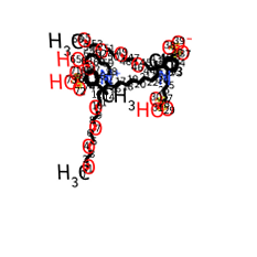 COCCOCCOCCOCCC1(C)C(/C=C/C=C/C=C/C=C2/N(CCCS(=O)(=O)O)c3ccc(S(=O)(=O)[O-])cc3C2(C)CCOCCOCCOCCOC)=[N+](CCCCCC(=O)O)c2ccc(S(=O)(=O)O)cc21